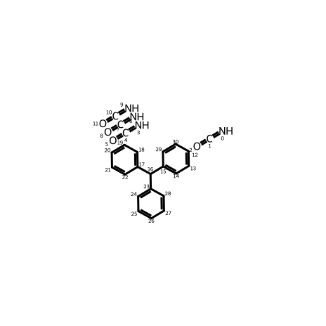 N=C=O.N=C=O.N=C=O.N=C=O.c1ccc(C(c2ccccc2)c2ccccc2)cc1